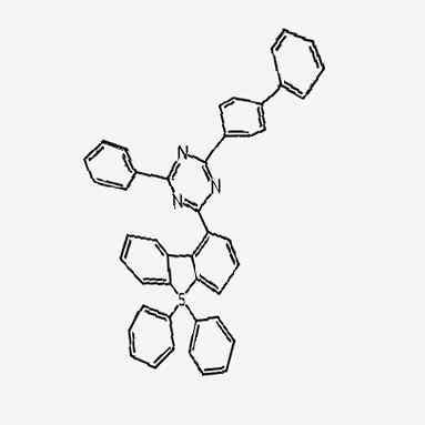 c1ccc(-c2ccc(-c3nc(-c4ccccc4)nc(-c4cccc5c4-c4ccccc4S5(c4ccccc4)c4ccccc4)n3)cc2)cc1